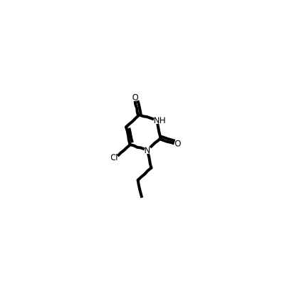 CCCn1c(Cl)cc(=O)[nH]c1=O